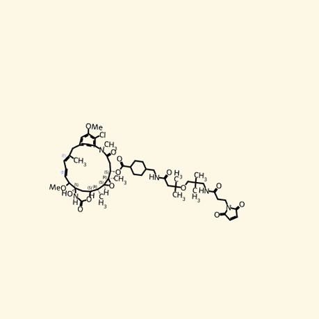 COc1cc2cc(c1Cl)N(C)C(=O)C[C@H](OC(=O)C1CCC(CNC(=O)CC(C)(C)OCC(C)(C)CNC(=O)CCN3C(=O)C=CC3=O)CC1)[C@@]1(C)O[C@H]1[C@H](C)[C@@H]1C[C@@](O)(NC(=O)O1)C(OC)/C=C/C=C(\C)C2